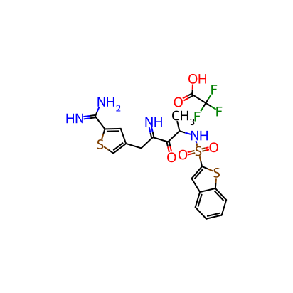 CC(NS(=O)(=O)c1cc2ccccc2s1)C(=O)C(=N)Cc1csc(C(=N)N)c1.O=C(O)C(F)(F)F